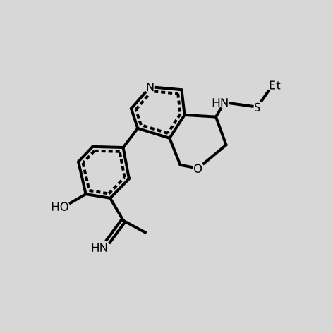 CCSNC1COCc2c(-c3ccc(O)c(C(C)=N)c3)cncc21